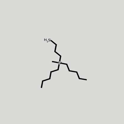 CCCCC[N+](C)(CCC[SiH3])CCCCC